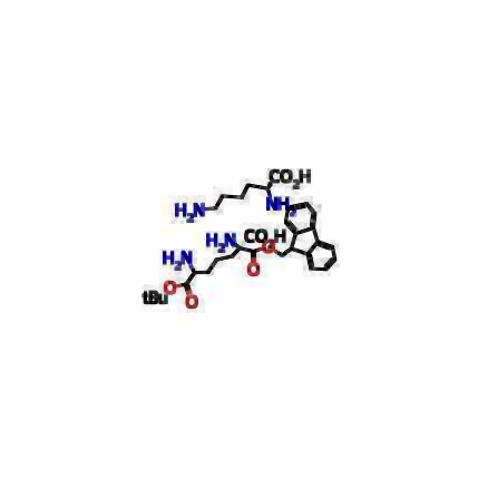 CC(C)(C)OC(=O)C(N)CCC[C@](N)(C(=O)O)C(=O)OCC1c2ccccc2-c2ccccc21.NCCCC[C@H](N)C(=O)O